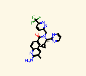 Cc1cc2cc(C(=O)N(Cc3ccc(C(F)(F)F)nn3)[C@@H](c3ncccn3)C3CC3)ccc2nc1N